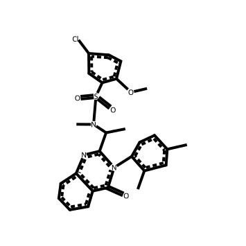 COc1ccc(Cl)cc1S(=O)(=O)N(C)C(C)c1nc2ccccc2c(=O)n1-c1ccc(C)cc1C